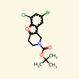 CC(C)(C)OC(=O)N1CCc2oc3c(Cl)cc(Br)cc3c2C1